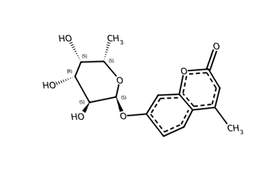 Cc1cc(=O)oc2cc(O[C@@H]3O[C@@H](C)[C@@H](O)[C@@H](O)[C@@H]3O)ccc12